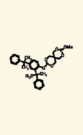 COP1OCC2(CO1)COP(Oc1ccc(C(C)(C)c3ccccc3)cc1C(C)(C)c1ccccc1)OC2